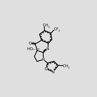 Cc1cc(N2CC[C@@]3(O)C(=O)c4cc(C)c(C(F)(F)F)cc4N=C23)on1